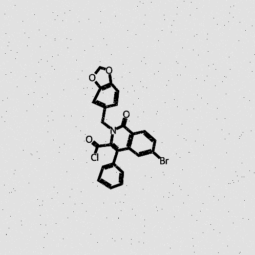 O=C(Cl)c1c(-c2ccccc2)c2cc(Br)ccc2c(=O)n1Cc1ccc2c(c1)OCO2